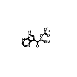 CC(C)(C)N(OC(=O)C(F)(F)F)C(=O)c1c[nH]c2nccnc12